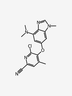 Cc1cc(C#N)nc(Cl)c1Oc1cc(N(C)C)c2ncn(C)c2c1